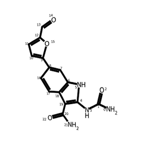 NC(=O)Nc1[nH]c2cc(-c3ccc(C=O)o3)ccc2c1C(N)=O